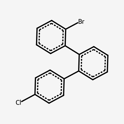 Clc1ccc(-c2ccccc2-c2ccccc2Br)cc1